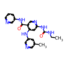 CCNC(=O)Nc1cc(Nc2cncc(C)c2)c(C(=O)Nc2cccnc2)cn1